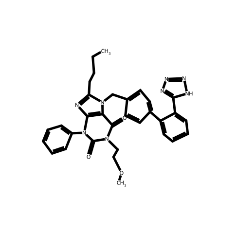 CCCCc1nc2c(c(=O)n(CCOC)c(=O)n2-c2ccccc2)n1Cc1ccc(-c2ccccc2-c2nnn[nH]2)cc1